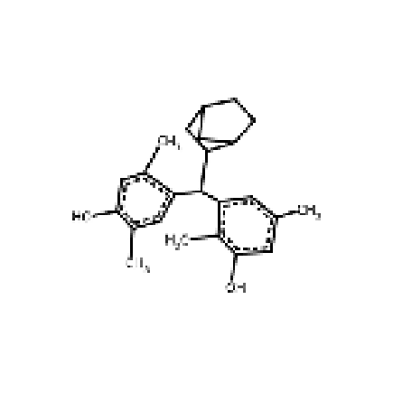 Cc1cc(O)c(C)c(C(c2cc(C)c(O)cc2C)C2CC3CCC2C3)c1